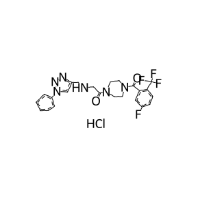 Cl.O=C(CNCc1cn(-c2ccccc2)nn1)N1CCN(C(=O)c2cc(F)ccc2C(F)(F)F)CC1